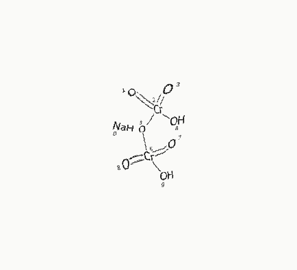 [NaH].[O]=[Cr](=[O])([OH])[O][Cr](=[O])(=[O])[OH]